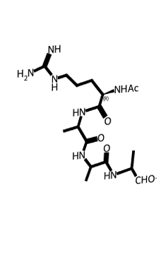 CC(=O)N[C@H](CCCNC(=N)N)C(=O)NC(C)C(=O)NC(C)C(=O)NC(C)[C]=O